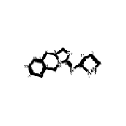 c1cnnc(N=C2SCC3Cc4ccccc4CN23)c1